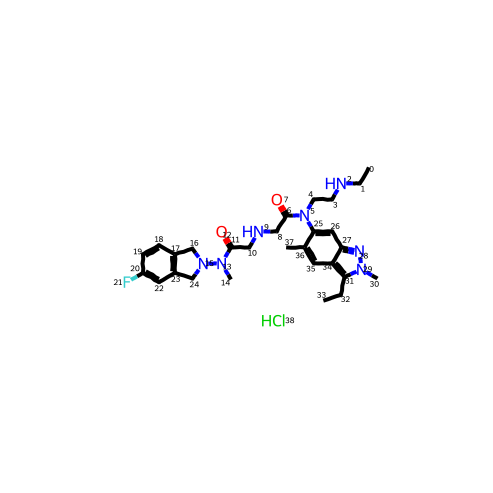 CCNCCN(C(=O)CNCC(=O)N(C)N1Cc2ccc(F)cc2C1)c1cc2nn(C)c(CC)c2cc1C.Cl